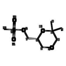 CC1(C)COC[C@H](COS(C)(=O)=O)O1